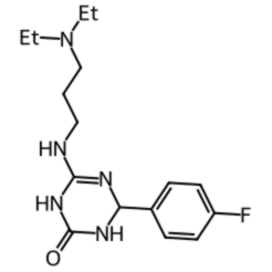 CCN(CC)CCCNC1=NC(c2ccc(F)cc2)NC(=O)N1